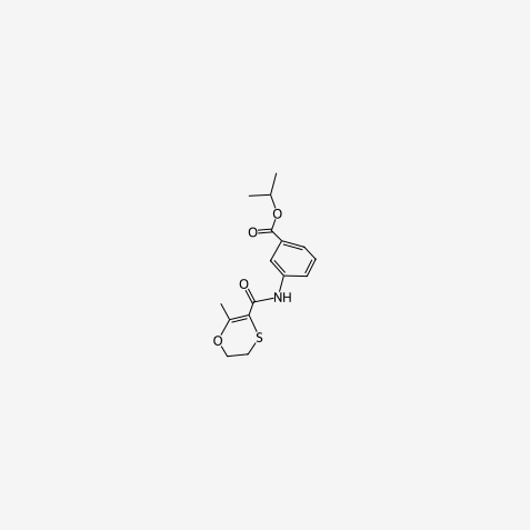 CC1=C(C(=O)Nc2cccc(C(=O)OC(C)C)c2)SCCO1